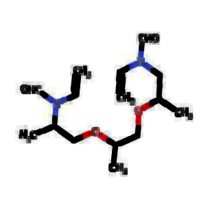 C=CN(C=O)CC(C)OCC(C)OCC(C)N(C=C)C=O